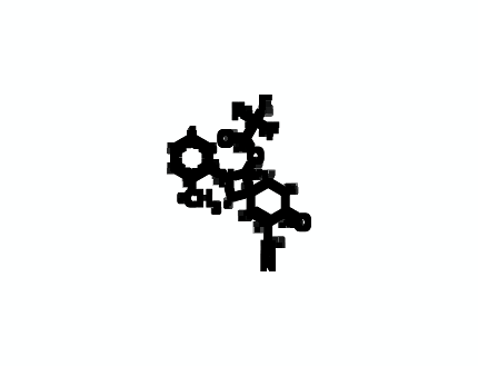 Cc1ccccc1N1CC2(C=C(C#N)C(=O)CC2)C1OC(=O)C(F)(F)F